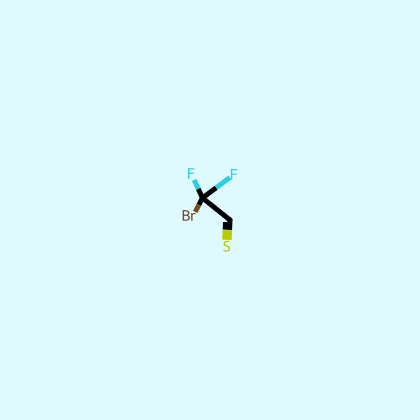 FC(F)(Br)C=S